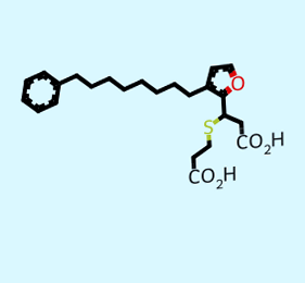 O=C(O)CCSC(CC(=O)O)c1occc1CCCCCCCCc1ccccc1